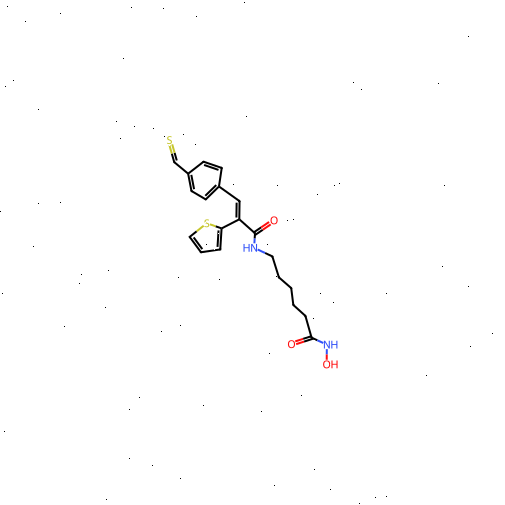 O=C(CCCCCNC(=O)C(=Cc1ccc(C=S)cc1)c1cccs1)NO